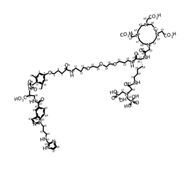 Cc1cc(OCCCC(=O)NCCCOCCOCCOCCCNC(=O)[C@@H](CCCCNC(=O)CN(CP(=O)(O)O)CP(=O)(O)O)NC(=O)CN2CCN(CC(=O)O)CCN(CC(=O)O)CCN(CC(=O)O)CC2)cc(C)c1S(=O)(=O)NC(CNC(=O)c1ccc2c(cnn2CCCNc2ncc[nH]2)c1)C(=O)O